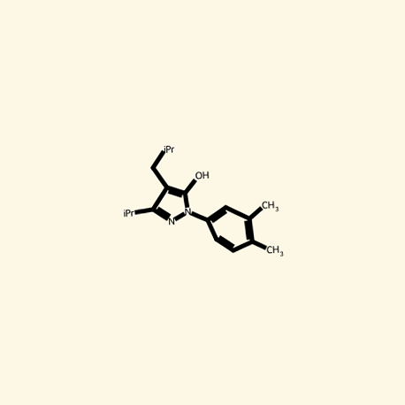 Cc1ccc(-n2nc(C(C)C)c(CC(C)C)c2O)cc1C